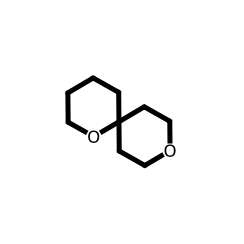 C1CCC2(CCOCC2)OC1